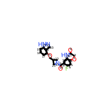 O=C1COc2cc(F)c(C(=O)N3CC(COc4cccc5[nH]ncc45)C3)cc2N1